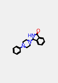 O=C1NC(N2CCN(c3ccccc3)CC2)c2ccccc21